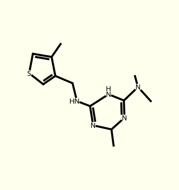 Cc1cscc1CNC1=NC(C)N=C(N(C)C)N1